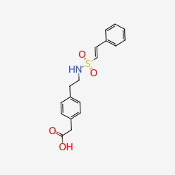 O=C(O)Cc1ccc(CCNS(=O)(=O)/C=C/c2ccccc2)cc1